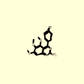 COc1cc2nc(N)nc(-c3ccc(Br)cc3)c2c(OC)c1OC